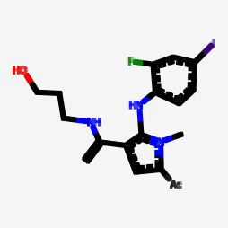 C=C(NCCCO)c1cc(C(C)=O)n(C)c1Nc1ccc(I)cc1F